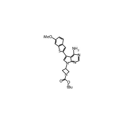 COc1ccc2cc(-c3cn(C4CN(C(=O)OC(C)(C)C)C4)c4ncnc(N)c34)sc2c1